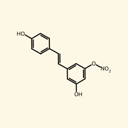 O=[N+]([O-])Oc1cc(O)cc(/C=C/c2ccc(O)cc2)c1